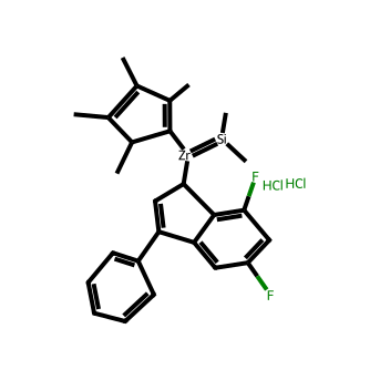 CC1=C(C)C(C)[C]([Zr]([CH]2C=C(c3ccccc3)c3cc(F)cc(F)c32)=[Si](C)C)=C1C.Cl.Cl